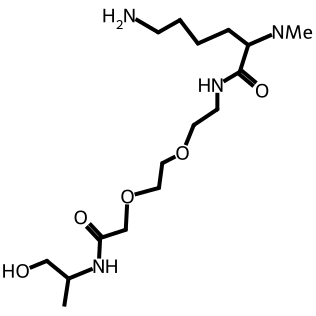 CNC(CCCCN)C(=O)NCCOCCOCC(=O)NC(C)CO